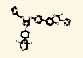 C[C@@H](Cn1cnnn1)Oc1cc(-c2cnc(Nc3cn([C@H]4CC[C@H](N5[C@@H]6CC[C@H]5COC6)CC4)nc3OCc3nccs3)nc2)ccc1Cl